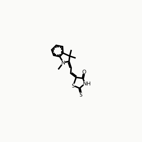 CN1/C(=C\C=C2\SC(=S)NC2=O)C(C)(C)c2ccccc21